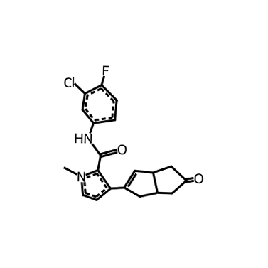 Cn1ccc(C2=CC3CC(=O)CC3C2)c1C(=O)Nc1ccc(F)c(Cl)c1